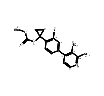 CC(C)(C)OC(=O)NC1(c2ccc(-c3ccnc(N)c3[N+](=O)[O-])cc2F)CC1